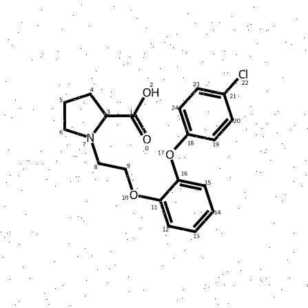 O=C(O)C1CCCN1CCOc1ccccc1Oc1ccc(Cl)cc1